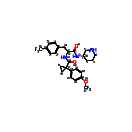 O=C(N[C@H]1CCCNC1)[C@H](Cc1ccc(C(F)(F)F)cc1)NC(=O)C1(c2ccc(OC(F)(F)F)cc2)CC1